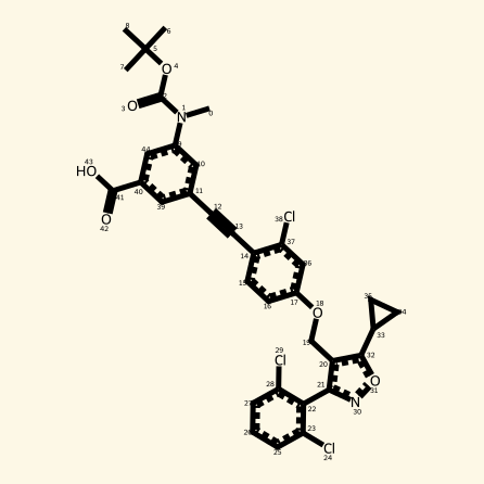 CN(C(=O)OC(C)(C)C)c1cc(C#Cc2ccc(OCc3c(-c4c(Cl)cccc4Cl)noc3C3CC3)cc2Cl)cc(C(=O)O)c1